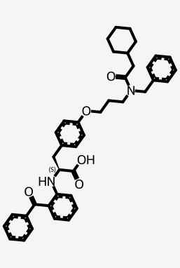 O=C(c1ccccc1)c1ccccc1N[C@@H](Cc1ccc(OCCCN(Cc2ccccc2)C(=O)CC2CCCCC2)cc1)C(=O)O